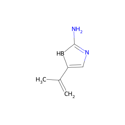 C=C(C)C1=CN=C(N)B1